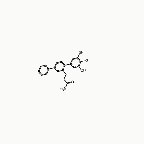 NC(=O)CCc1cc(-c2ccccc2)ccc1-c1cc(O)c(Cl)c(O)c1